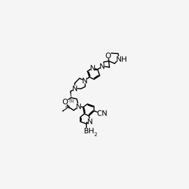 Bc1ccc2c(N3C[C@H](CN4CCN(c5ccc(N6CC7(CNCCO7)C6)nc5)CC4)O[C@H](C)C3)ccc(C#N)c2n1